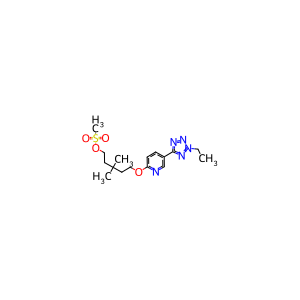 CCn1nnc(-c2ccc(OCCC(C)(C)CCOS(C)(=O)=O)nc2)n1